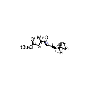 CO[C@@H](/C=C/C#C[Si](C(C)C)(C(C)C)C(C)C)CC(=O)OC(C)(C)C